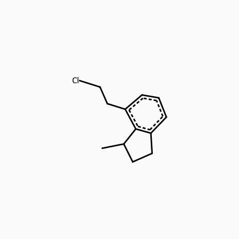 CC1CCc2cccc(CCCl)c21